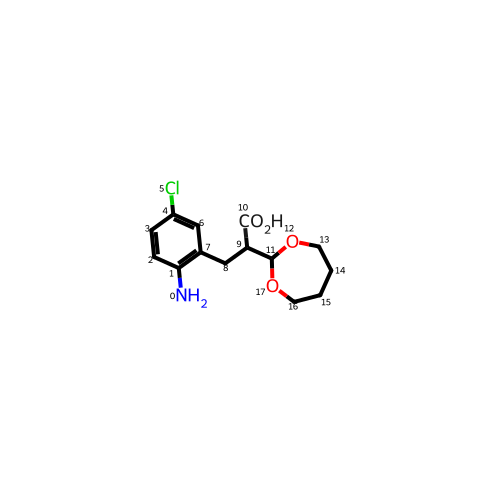 Nc1ccc(Cl)cc1CC(C(=O)O)C1OCCCCO1